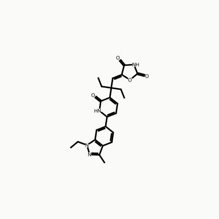 CCn1nc(C)c2ccc(-c3ccc(C(C=C4OC(=O)NC4=O)(CC)CC)c(=O)[nH]3)cc21